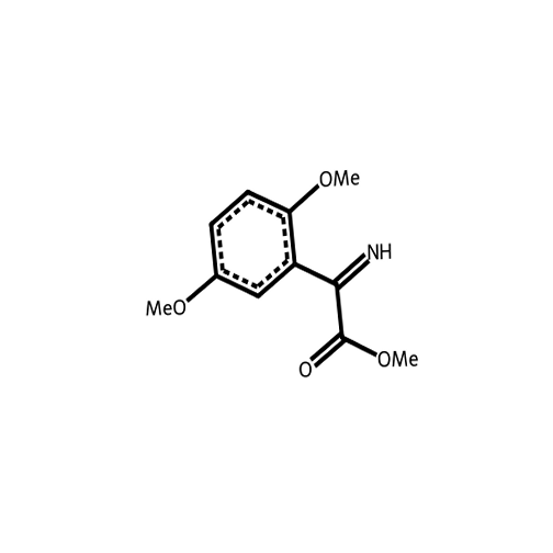 COC(=O)C(=N)c1cc(OC)ccc1OC